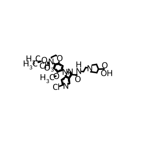 COc1cc2c(cc1-n1nc(C(=O)NCCN3CCC(C(=O)O)CC3)c3cnc(Cl)cc31)OCCN2C(=O)OC(C)(C)C